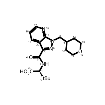 CC(C)(C)[C@H](NC(=O)c1nn(CC2CCOCC2)c2ncccc12)C(=O)O